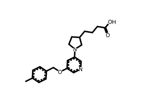 Cc1ccc(COc2cncc(N3CCC(CCCC(=O)O)C3)c2)cc1